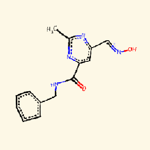 Cc1nc(/C=N/O)cc(C(=O)NCc2ccccc2)n1